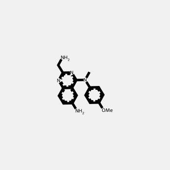 COc1ccc(N(C)c2nc(CN)nc3ccc(N)cc23)cc1